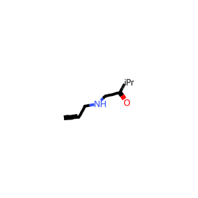 C=CCNCC(=O)C(C)C